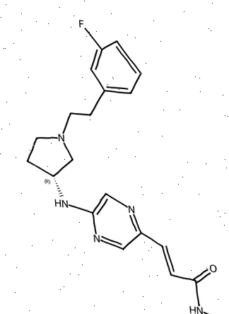 O=C(C=Cc1cnc(N[C@@H]2CCN(CCc3cccc(F)c3)C2)cn1)NO